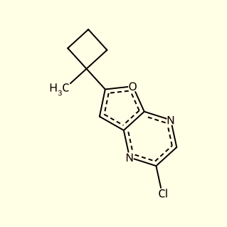 CC1(c2cc3nc(Cl)cnc3o2)CCC1